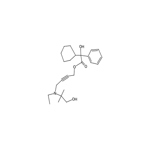 CCN(CC#CCOC(=O)C(O)(c1ccccc1)C1CCCCC1)C(C)(C)CO